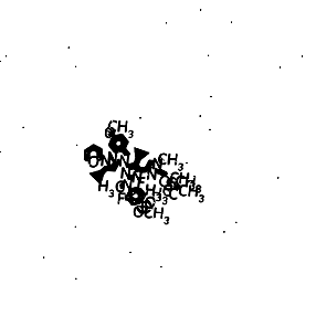 COc1ccc(CN(c2cc(C3CC3)n(C3CCCCO3)n2)c2nc(N(C)c3c(F)cc(S(C)(=O)=O)cc3F)nc(-c3cn(C)c(CO[Si](C)(C)C(C)(C)C)n3)c2C2CC2)cc1